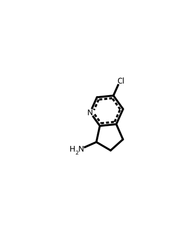 NC1CCc2cc(Cl)cnc21